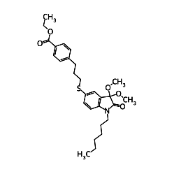 CCCCCCN1C(=O)C(OC)(OC)c2cc(SCCCc3ccc(C(=O)OCC)cc3)ccc21